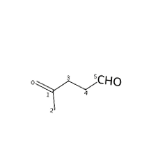 C=C(C)CCC=O